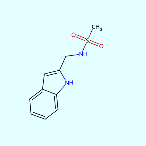 CS(=O)(=O)N[CH]c1cc2ccccc2[nH]1